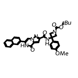 COc1ccc(C2(NC(=O)c3cc4c(=O)[nH]c(-c5ccc6ccccc6c5)cn4n3)CN(C(=O)OC(C)(C)C)C2)cc1